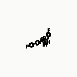 CC(C)[C@@H](NC(=O)Cc1ccc(F)cc1)C(=O)N1CCC(c2ccc(F)cc2)CC1